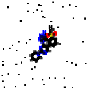 CS(=O)(=O)c1cccc(-c2cnc(N3CCCCC3)nc2)c1-c1nnn[nH]1